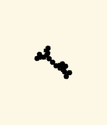 CC1(C)c2ccccc2-c2ccc(N(c3ccc(-c4ccc(-c5cccc(C6(C)c7ccccc7-c7c(N(c8ccccc8)c8ccc9c%10ccccc%10c%10ccccc%10c9c8)cccc76)c5)cc4)cc3)c3ccc4c(c3)-c3ccccc3C4(C)c3ccccc3)cc21